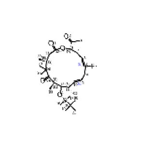 CC(=O)[C@@H]1C/C=C(/F)C/C=C/[C@H](C)C(O[Si](C)(C)C(C)(C)C)[C@@H](C)C(=O)C(C)(C)[C@@H](C)CC(=O)O1